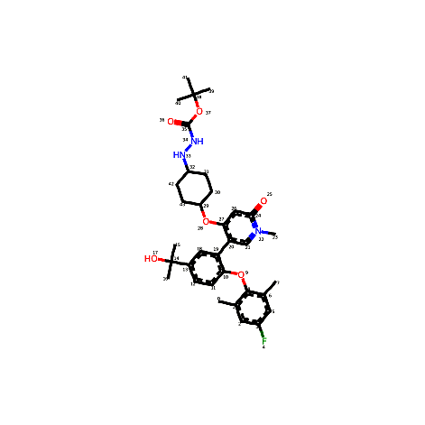 Cc1cc(F)cc(C)c1Oc1ccc(C(C)(C)O)cc1-c1cn(C)c(=O)cc1OC1CCC(NNC(=O)OC(C)(C)C)CC1